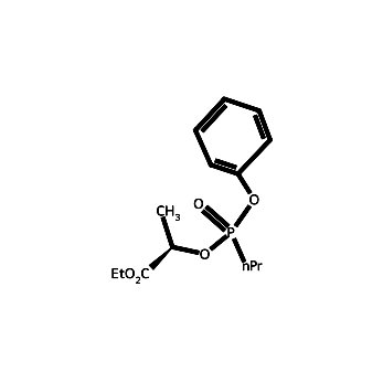 CCCP(=O)(Oc1ccccc1)O[C@H](C)C(=O)OCC